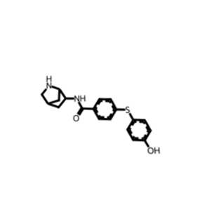 O=C(NC1CC2CNC1C2)c1ccc(Sc2ccc(O)cc2)cc1